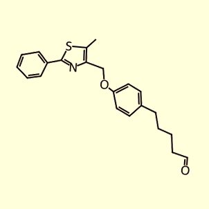 Cc1sc(-c2ccccc2)nc1COc1ccc(CCCCC=O)cc1